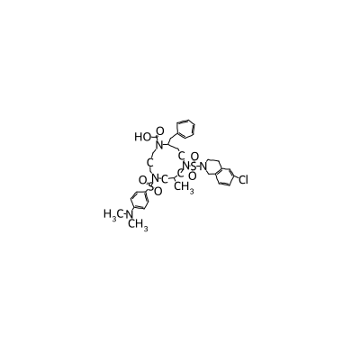 CC1CN(S(=O)(=O)c2ccc(N(C)C)cc2)CCCN(C(=O)O)C(Cc2ccccc2)CCN(S(=O)(=O)N2CCc3cc(Cl)ccc3C2)C1